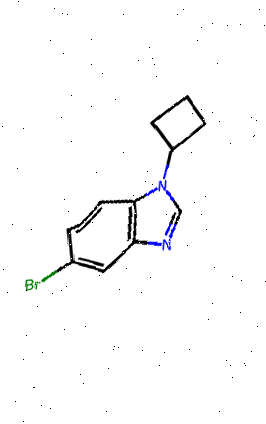 Brc1ccc2c(c1)ncn2C1CCC1